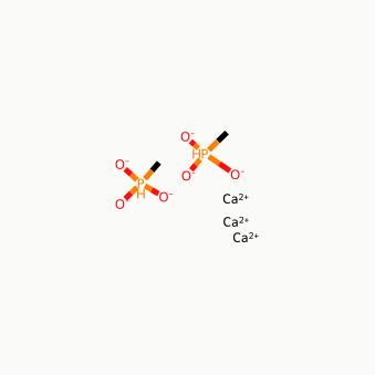 C[PH]([O-])([O-])[O-].C[PH]([O-])([O-])[O-].[Ca+2].[Ca+2].[Ca+2]